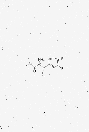 COC(=O)C(N)C(=O)c1ccc(F)c(F)c1